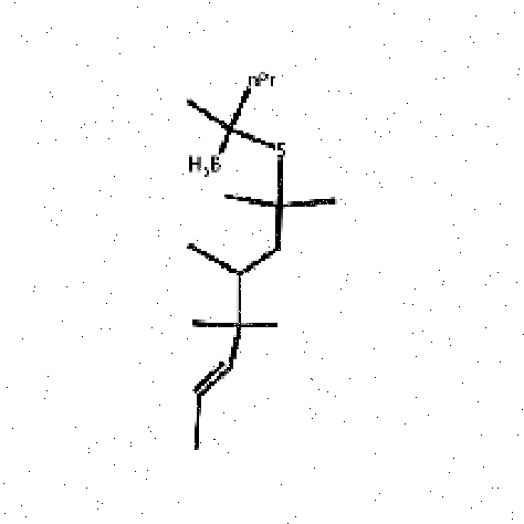 BC(C)(CCC)SC(C)(C)CC(C)C(C)(C)C=CC